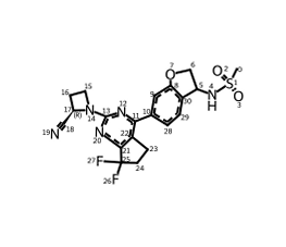 CS(=O)(=O)NC1COc2cc(-c3nc(N4CC[C@@H]4C#N)nc4c3CCC4(F)F)ccc21